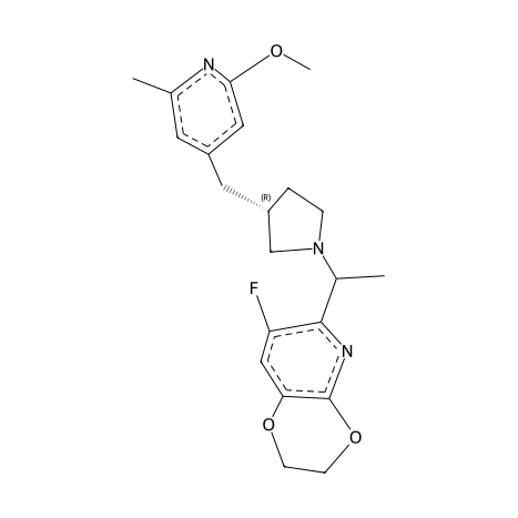 COc1cc(C[C@@H]2CCN(C(C)c3nc4c(cc3F)OCCO4)C2)cc(C)n1